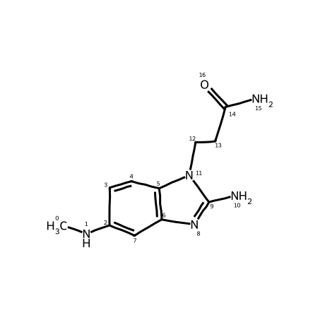 CNc1ccc2c(c1)nc(N)n2CCC(N)=O